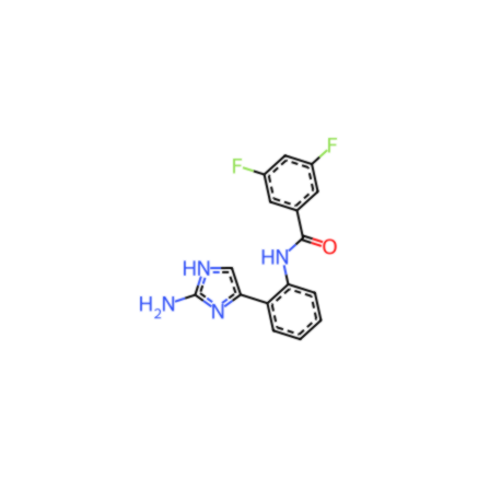 Nc1nc(-c2ccccc2NC(=O)c2cc(F)cc(F)c2)c[nH]1